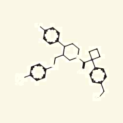 CC(C)Cc1ccc(C2(C(=O)N3CCC(c4ccc(F)cc4)C(COc4ccc(C(F)(F)F)cc4)C3)CCC2)cc1